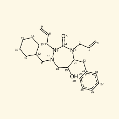 C=CCN1C(=O)N(CC=C)N(CC2CCCCC2)CC(O)C1Cc1ccccc1